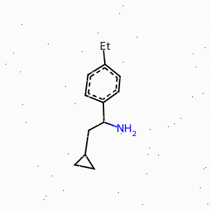 CCc1ccc(C(N)CC2CC2)cc1